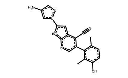 Cc1ccc(O)c(C)c1-c1cnc2[nH]c(-n3cc(N)cn3)cc2c1C#N